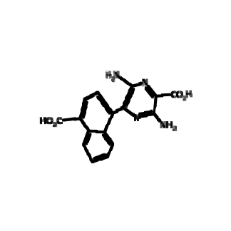 Nc1nc(-c2ccc(C(=O)O)c3ccccc23)c(N)nc1C(=O)O